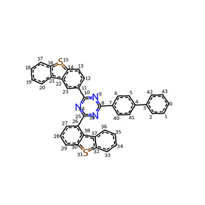 c1ccc(-c2ccc(-c3nc(-c4ccc5sc6ccccc6c5c4)nc(-c4cccc5sc6ccccc6c45)n3)cc2)cc1